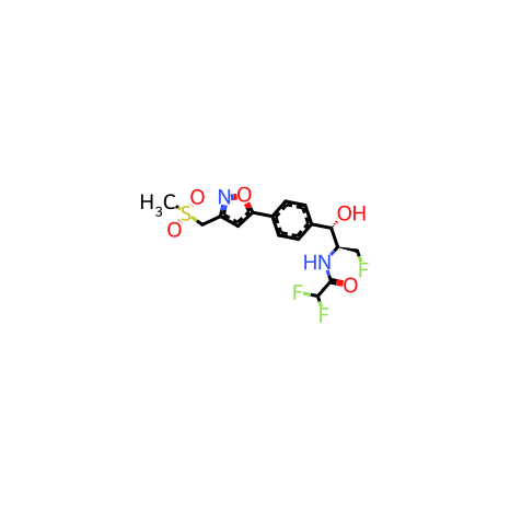 CS(=O)(=O)Cc1cc(-c2ccc([C@H](O)[C@@H](CF)NC(=O)C(F)F)cc2)on1